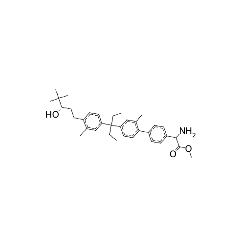 CCC(CC)(c1ccc(CC[C@H](O)C(C)(C)C)c(C)c1)c1ccc(-c2ccc(C(N)C(=O)OC)cc2)c(C)c1